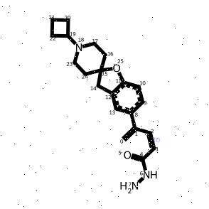 C=C(/C=C\C(=O)NN)c1ccc2c(c1)CC1(CCN(C3CCC3)CC1)O2